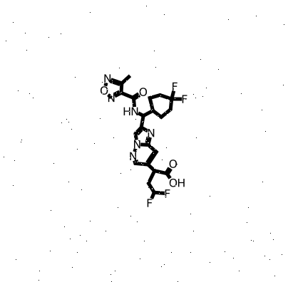 Cc1nonc1C(=O)NC(c1cn2ncc(C(CC(F)F)C(=O)O)cc2n1)C1CCC(F)(F)CC1